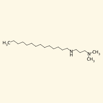 CCCCCCCCCCCCCCNCCCN(C)C